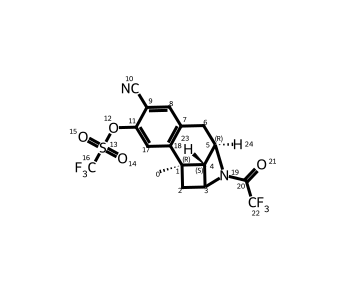 C[C@@]12CC3[C@H]1[C@@H](Cc1cc(C#N)c(OS(=O)(=O)C(F)(F)F)cc12)N3C(=O)C(F)(F)F